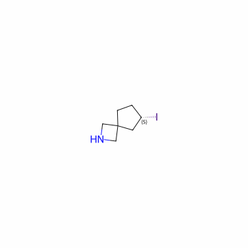 I[C@H]1CCC2(CNC2)C1